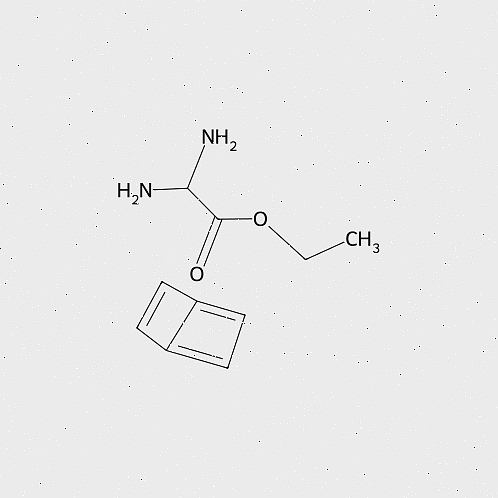 CCOC(=O)C(N)N.c1cc2ccc1-2